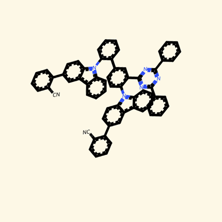 N#Cc1ccccc1-c1ccc2c(c1)c1ccccc1n2-c1ccccc1-c1ccc(-n2c3ccccc3c3cc(-c4ccccc4C#N)ccc32)c(-c2nc(-c3ccccc3)nc(-c3ccccc3)n2)c1